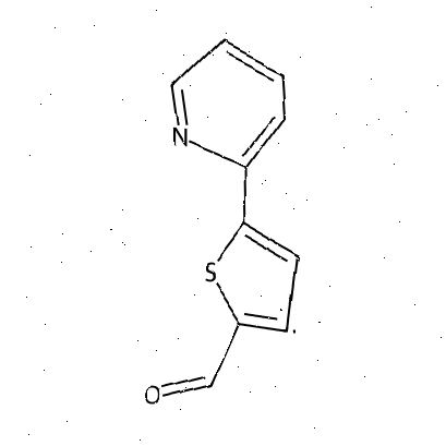 O=Cc1[c]cc(-c2ccccn2)s1